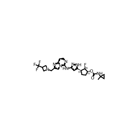 CC1(NC(=O)O[C@H]2CC[C@@H](c3cc(Nc4nccc5nc(CN6CC(C(F)(F)F)C6)cn45)n[nH]3)[C@H]2F)CC1